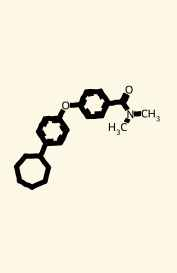 CN(C)C(=O)c1ccc(Oc2ccc(C3CCCCCC3)cc2)cc1